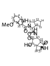 COc1cccc2[nH]c(C(=O)N3CC4CCCC4C3C(=O)NC(CC3C(=O)NC4CC3C4)C(=O)CO)cc12